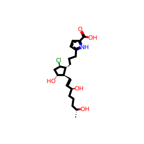 C[C@@H](O)CCC[C@H](O)/C=C/[C@@H]1[C@@H](CCCc2ccc(C(=O)O)[nH]2)[C@H](Cl)C[C@H]1O